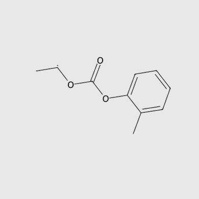 C[CH]OC(=O)Oc1ccccc1C